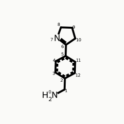 NCc1ccc(C2=NCCC2)cc1